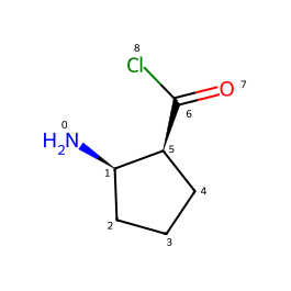 N[C@@H]1CCC[C@@H]1C(=O)Cl